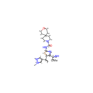 C=C(c1cnn(C)c1)c1sc(NC(=O)N2CCC3(CCOCC3)CC2)nc1C(=N)OC